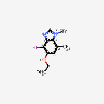 CC(C)n1cnc2c(I)c(OCC=O)cc(C(F)(F)F)c21